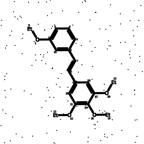 CCOc1cccc(C=Cc2cc(OCC)c(OCC)c(OCC)c2)c1